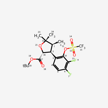 C[C@H]1[C@@H](c2ccc(F)c(F)c2OS(=O)(=O)C(F)(F)F)[C@H](C(=O)OC(C)(C)C)O[C@@]1(C)C(F)(F)F